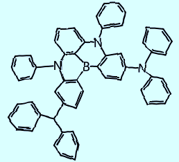 c1ccc(C(c2ccccc2)c2ccc3c(c2)N(c2ccccc2)c2cccc4c2B3c2ccc(N(c3ccccc3)c3ccccc3)cc2N4c2ccccc2)cc1